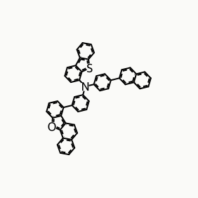 c1cc(-c2cccc3oc4c5ccccc5ccc4c23)cc(N(c2ccc(-c3ccc4ccccc4c3)cc2)c2cccc3c2sc2ccccc23)c1